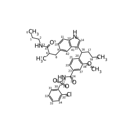 CCCNC(=O)C(C)Cc1ccc2[nH]cc(C(CCC)c3ccc(C(=O)NS(=O)(=O)c4ccccc4Cl)cc3OC)c2c1